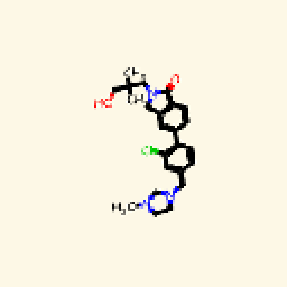 CN1CCN(Cc2ccc(-c3ccc4c(c3)CN(CC(C)(C)CO)C4=O)c(Cl)c2)C1